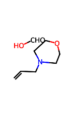 C=CCN1CCOCC1.O=CO